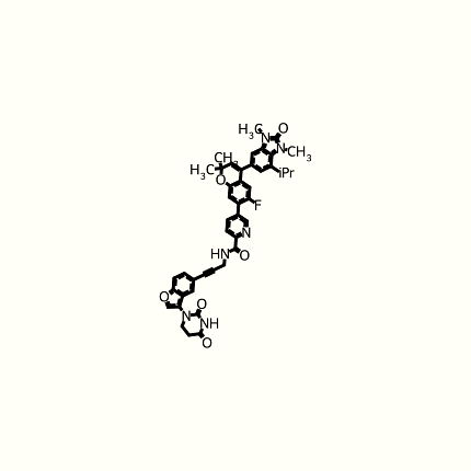 CC(C)c1cc(C2=CC(C)(C)Oc3cc(-c4ccc(C(=O)NCC#Cc5ccc6occ(N7CCC(=O)NC7=O)c6c5)nc4)c(F)cc32)cc2c1n(C)c(=O)n2C